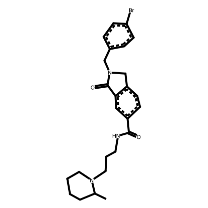 CC1CCCCN1CCCNC(=O)c1ccc2c(c1)C(=O)N(Cc1ccc(Br)cc1)C2